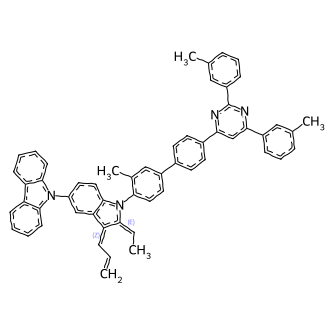 C=C/C=c1\c(=C/C)n(-c2ccc(-c3ccc(-c4cc(-c5cccc(C)c5)nc(-c5cccc(C)c5)n4)cc3)cc2C)c2ccc(-n3c4ccccc4c4ccccc43)cc12